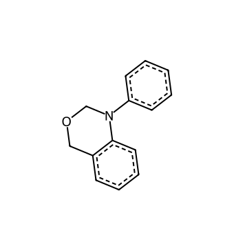 c1ccc(N2COCc3ccccc32)cc1